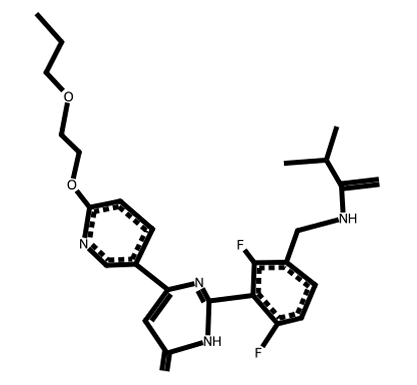 C=C1C=C(c2ccc(OCCOCCC)nc2)N=C(c2c(F)ccc(CNC(=C)C(C)C)c2F)N1